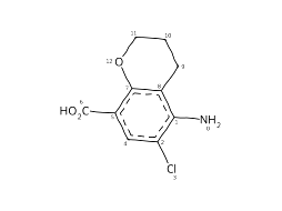 Nc1c(Cl)cc(C(=O)O)c2c1CCCO2